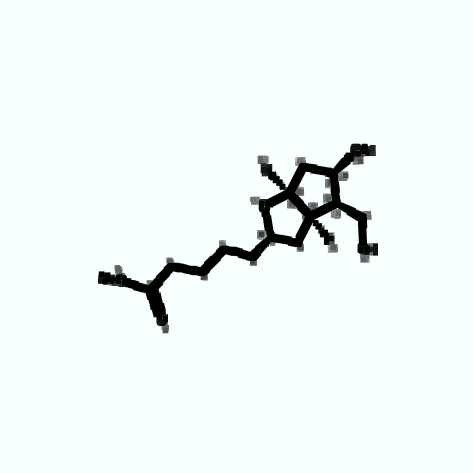 COC(=O)CCCC[C@@H]1C[C@@H]2[C@H](CO)[C@H](OC(C)=O)C[C@@H]2O1